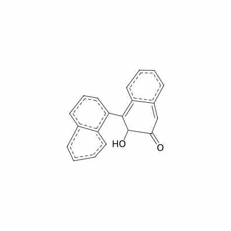 O=C1C=c2ccccc2=C(c2cccc3ccccc23)C1O